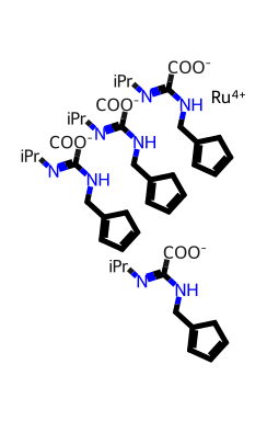 CC(C)N=C(NCC1=CC=CC1)C(=O)[O-].CC(C)N=C(NCC1=CC=CC1)C(=O)[O-].CC(C)N=C(NCC1=CC=CC1)C(=O)[O-].CC(C)N=C(NCC1=CC=CC1)C(=O)[O-].[Ru+4]